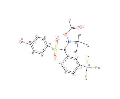 CC(=O)ON(C(c1cccc(C(F)(F)F)c1)S(=O)(=O)c1ccc(Br)cc1)C(C)(C)C